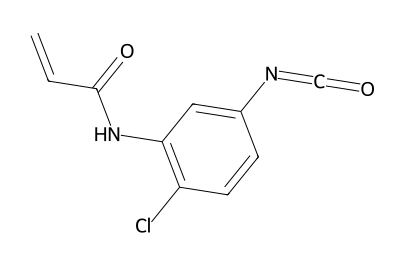 C=CC(=O)Nc1cc(N=C=O)ccc1Cl